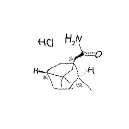 C[C@H]1[CH]C[C@@H]2C[C@@]1(C(N)=O)C2(C)C.Cl